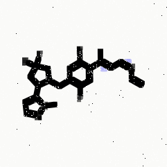 C=C/N=C\C=C(/C)c1cc(F)c(CC2CC(F)(F)CC2c2ccnn2C)cc1F